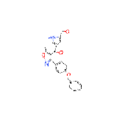 Cc1onc(-c2ccc(OCc3ccccc3)cc2)c1C(=O)c1c[nH]c(C=O)c1